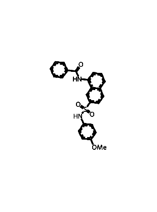 COc1ccc(NS(=O)(=O)c2ccc3cccc(NC(=O)c4ccccc4)c3c2)cc1